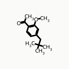 COc1cc(CC(C)(C)C)ccc1C(C)=O